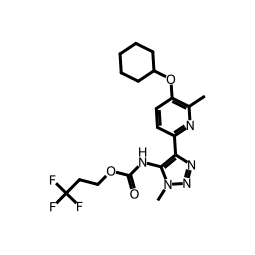 Cc1nc(-c2nnn(C)c2NC(=O)OCCC(F)(F)F)ccc1OC1CCCCC1